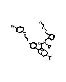 CC(=O)N1CC2CC(c3ccc(OCCOc4ccc(Br)cc4)cc3)=C(C(=O)N(Cc3ccccc3CCOC=O)C3CC3)C(C1)N2